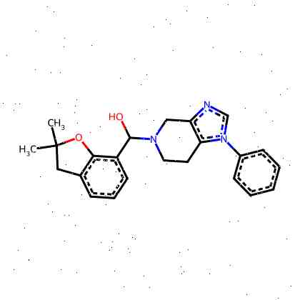 CC1(C)Cc2cccc(C(O)N3CCc4c(ncn4-c4ccccc4)C3)c2O1